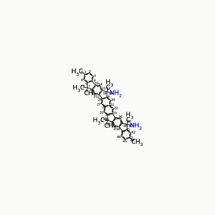 Cc1ccc2c(c1)C(C)(C)c1cc3c(cc1-2)C(C)(N)c1cc2cc4c(cc2cc1-3)C(C)(C)c1cc2c(cc1-4)C(C)(N)c1cc(C)ccc1-2